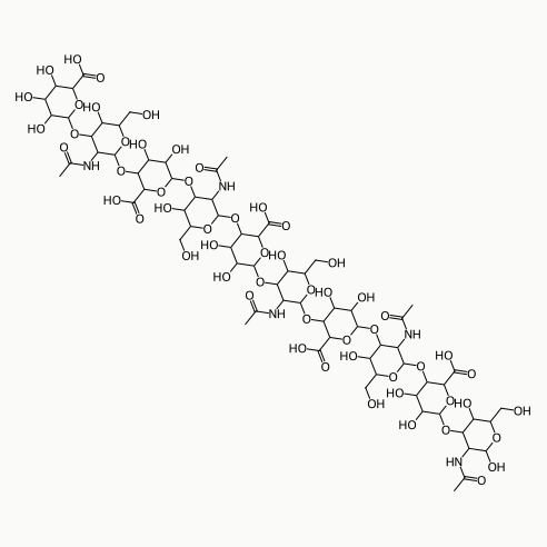 CC(=O)NC1C(O)OC(CO)C(O)C1OC1OC(C(=O)O)C(OC2OC(CO)C(O)C(OC3OC(C(=O)O)C(OC4OC(CO)C(O)C(OC5OC(C(=O)O)C(OC6OC(CO)C(O)C(OC7OC(C(=O)O)C(OC8OC(CO)C(O)C(OC9OC(C(=O)O)C(O)C(O)C9O)C8NC(C)=O)C(O)C7O)C6NC(C)=O)C(O)C5O)C4NC(C)=O)C(O)C3O)C2NC(C)=O)C(O)C1O